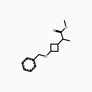 COC(=O)C(C)C1CC(OCc2ccccc2)C1